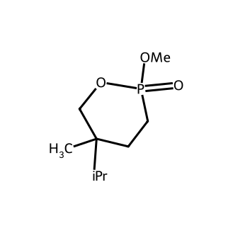 COP1(=O)CCC(C)(C(C)C)CO1